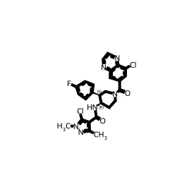 Cc1nn(C)c(Cl)c1C(=O)N[C@@H]1CCN(C(=O)c2cc(Cl)c3nccnc3c2)C[C@@H]1c1ccc(F)cc1